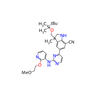 COCCOc1ncccc1Nc1nccc(-c2cc(C#N)c3c(c2)[C@@](C)(CO[Si](C)(C)C(C)(C)C)CN3)n1